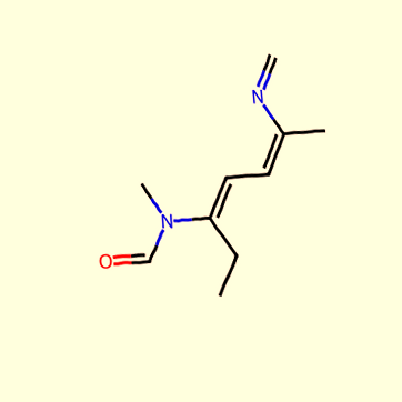 C=N/C(C)=C\C=C(/CC)N(C)C=O